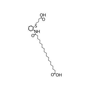 O=C(O)CCCCCCCCCCCCCCCCCC(=O)Nc1ccccc1SCCCC(=O)O